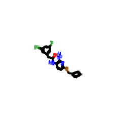 Nc1nc(SCC2CCC2)ccc1NC(=O)Cc1cc(F)cc(F)c1